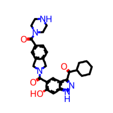 O=C(c1n[nH]c2cc(O)c(C(=O)N3Cc4ccc(C(=O)N5CCNCC5)cc4C3)cc12)C1CCCCC1